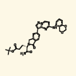 CC(C)(C)OC(=O)CC[C@@H](C(N)=O)N1Cc2cc(-c3cnn4ccc(Nc5cccc6c5COCO6)nc34)ccc2C1=O